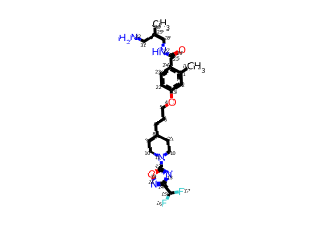 Cc1cc(OCCCC2CCN(c3nc(C(F)F)no3)CC2)ccc1C(=O)NCC(C)CN